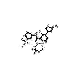 Cc1c(-c2cnn(C)c2)cnc(N2CCCC(F)(F)CC2)c1C(=O)Nc1cccc(S(C)(=N)=O)c1